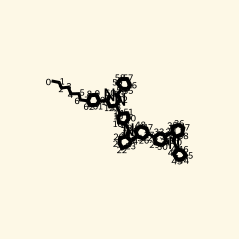 CCCCCCCc1ccc(-c2cc(-c3ccc(-n4c5ccccc5c5cc(-c6ccc7c(c6)c6ccccc6n7-c6ccccc6)ccc54)cc3)nc(-c3ccccc3)n2)cc1